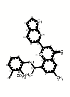 Cc1cc([C@@H](C)Nc2cccc(F)c2C(=O)O)c2oc(-c3ccc4cc[nH]c4n3)cc(=O)c2c1